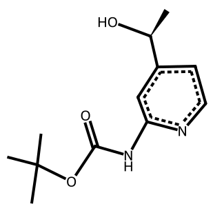 C[C@H](O)c1ccnc(NC(=O)OC(C)(C)C)c1